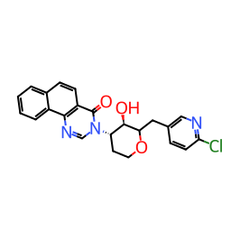 O=c1c2ccc3ccccc3c2ncn1[C@H]1CCOC(Cc2ccc(Cl)nc2)[C@@H]1O